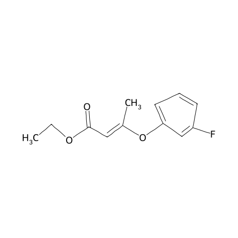 CCOC(=O)/C=C(\C)Oc1cccc(F)c1